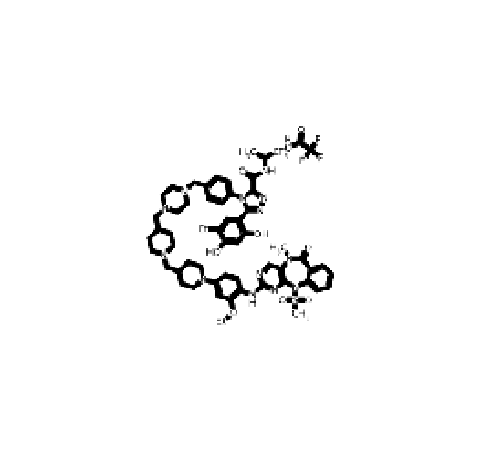 CCOc1cc(N2CCC(CN3CCC(CN4CCN(Cc5ccc(-n6c(C(=O)NC(C)C(F)(F)F)nnc6-c6cc(CC)c(O)cc6O)cc5)CC4)CC3)CC2)ccc1Nc1ncc2c(n1)N(S(C)(=O)=O)c1ccccc1C(=O)N2C.O=C(O)C(F)(F)F